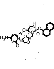 CC(C)OC(=O)[C@H](C)NP(=O)(OC[C@H]1OC[C@@H](n2ccc(N)nc2=O)O1)Oc1cccc2ccccc12